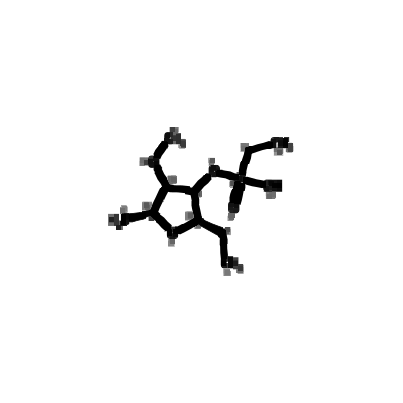 B[C@@H]1O[C@H](CC)C(OP(=O)(O)CC)C1OC